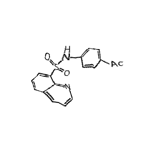 CC(=O)c1ccc(NS(=O)(=O)c2cccc3cccnc23)cc1